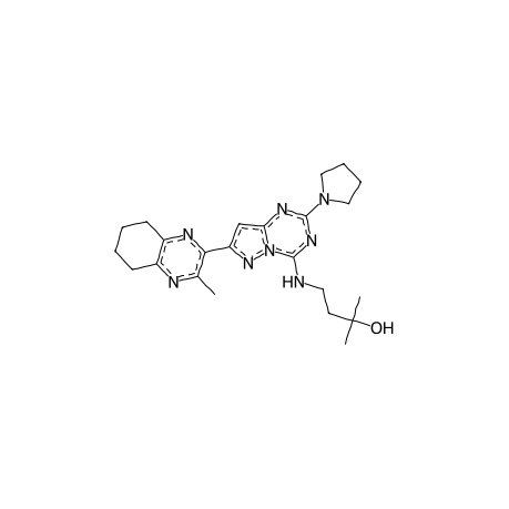 Cc1nc2c(nc1-c1cc3nc(N4CCCC4)nc(NCCC(C)(C)O)n3n1)CCCC2